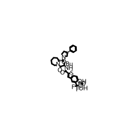 CC(C)(C)C(NC(=O)c1cc2cc(C(F)(F)P(=O)(O)O)ccc2s1)C(=O)N1CCCCC[C@H]1C(=O)N1CC[C@@H](c2ccccc2)C1